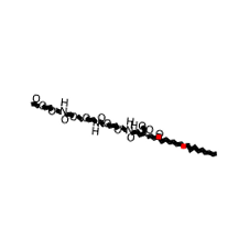 CCCCCCCCCCCCCCCCC(=O)CCC[C@H](CCC(=O)NCCOCCOCC(=O)NCCOCCOCC(=O)NCCOCCOCC(C)=O)C(=O)O